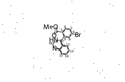 COC(=O)c1ccc(Br)cc1C1=c2ccccc2=NCN1